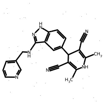 CC1=C(C#N)C(c2ccc3[nH]nc(NCc4cccnc4)c3c2)C(C#N)=C(C)N1